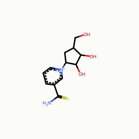 NC(=S)c1ccc[n+](C2CC(CO)C(O)C2O)c1